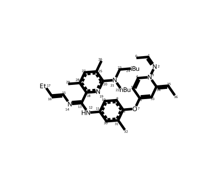 C/C=N\N1C=CC(Oc2ccc(N/C(=N/C=C/CC)c3nc(N(CCCC)CC(C)CC)c(C)cc3C)cc2C)=C/C1=C\C